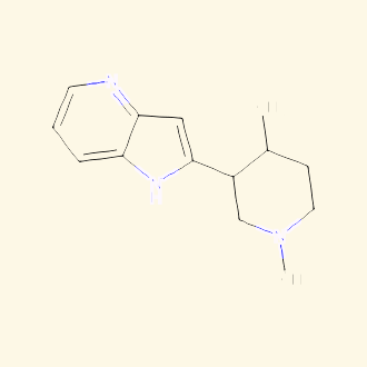 CC1CCN(C)CC1c1cc2ncccc2[nH]1